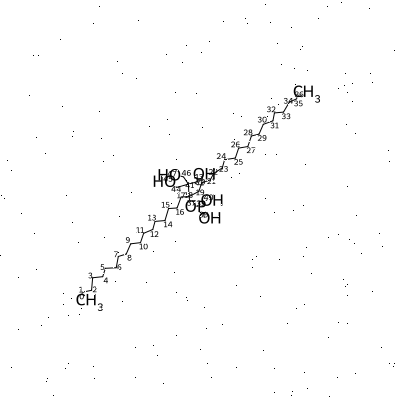 CCCCCCCCCCCCCCCCCCC(CCCCCCCCCCCCCCCCCC)(OP(O)O)C(CO)(CO)CO